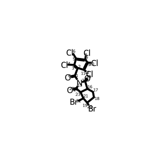 O=C(c1c(Cl)c(Cl)c(Cl)c(Cl)c1Cl)N1C(=O)C2CCC(Br)C(Br)C2C1=O